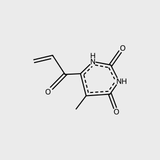 C=CC(=O)c1[nH]c(=O)[nH]c(=O)c1C